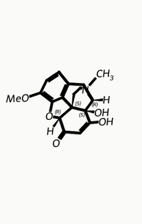 COc1ccc2c3c1O[C@H]1C(=O)C=C(O)[C@@]4(O)[C@@H](C2)N(C)CC[C@]314